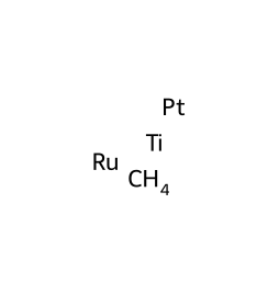 C.[Pt].[Ru].[Ti]